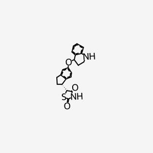 O=C1NC(=O)C([C@@H]2CCc3cc(OC4CCNc5ccccc54)ccc32)S1